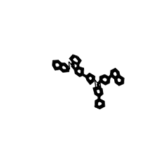 C1=CC2c3cc(-c4ccc(N(c5ccc(-c6ccccc6)cc5)c5ccc(-c6cccc7ccccc67)cc5)cc4)ccc3N(c3ccc4ccccc4c3)C2C=C1